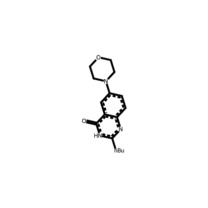 CCCCc1nc2ccc(N3CCOCC3)cc2c(=O)[nH]1